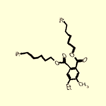 CCc1cc(C(=O)OCCCCCC(C)C)c(C(=O)OCCCCCC(C)C)cc1C